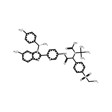 CCS(=O)(=O)c1ccc(C(C(=O)Nc2ccc(-c3nc4ccc(C)cc4n3[C@@H](C)c3ccc(C)cc3)nc2)N(C(=O)O)C(C)(C)C)cc1